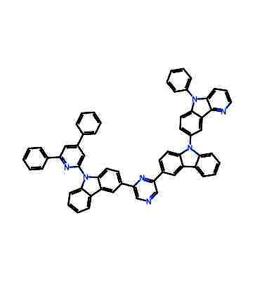 c1ccc(-c2cc(-c3ccccc3)nc(-n3c4ccccc4c4cc(-c5cncc(-c6ccc7c(c6)c6ccccc6n7-c6ccc7c(c6)c6ncccc6n7-c6ccccc6)n5)ccc43)c2)cc1